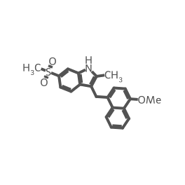 COc1ccc(Cc2c(C)[nH]c3cc(S(C)(=O)=O)ccc23)c2ccccc12